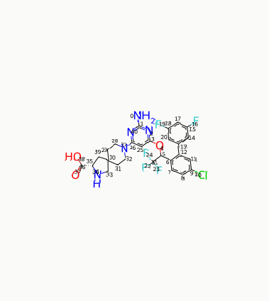 Nc1nc(OC(c2ccc(Cl)cc2-c2cc(F)cc(F)c2)C(F)(F)F)cc(N2CCC3(CC2)CN[C@H](C(=O)O)C3)n1